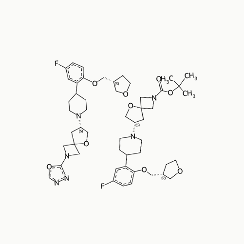 CC(C)(C)OC(=O)N1CC2(C[C@H](N3CCC(c4cc(F)ccc4OC[C@@H]4CCOC4)CC3)CO2)C1.Fc1ccc(OC[C@@H]2CCOC2)c(C2CCN([C@@H]3COC4(C3)CN(c3nnco3)C4)CC2)c1